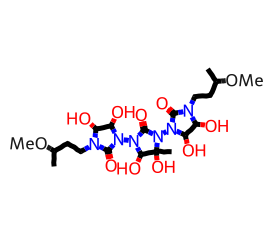 COC(C)CCN1C(=O)N(N2C(=O)N(N3C(=O)N(CCC(C)OC)C(O)C3O)C(C)(O)C2O)C(O)C1O